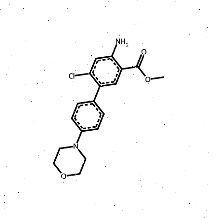 COC(=O)c1cc(-c2ccc(N3CCOCC3)cc2)c(Cl)cc1N